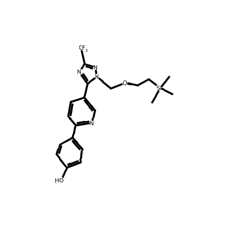 C[Si](C)(C)CCOCn1nc(C(F)(F)F)nc1-c1ccc(-c2ccc(O)cc2)nc1